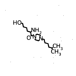 CC(C)CCCCN1CCN(C(=O)C(N)CCCCO)CC1